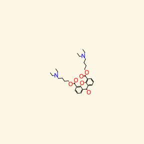 CCN(CC)CCCCOC(=O)c1cccc2c(=O)c3cccc(C(=O)OCCCCN(CC)CC)c3oc12